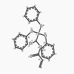 C=CC(=O)OC(CC)[Si](Oc1ccccc1)(Oc1ccccc1)Oc1ccccc1